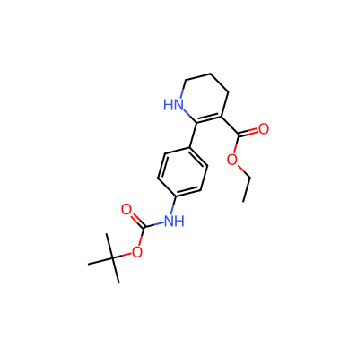 CCOC(=O)C1=C(c2ccc(NC(=O)OC(C)(C)C)cc2)NCCC1